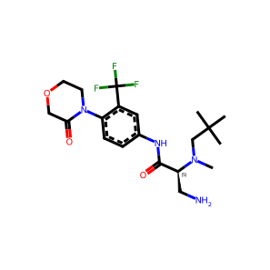 CN(CC(C)(C)C)[C@@H](CN)C(=O)Nc1ccc(N2CCOCC2=O)c(C(F)(F)F)c1